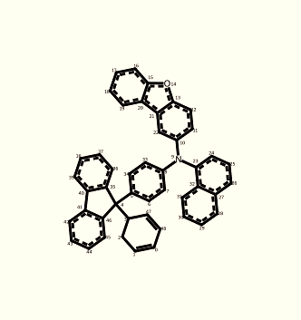 C1=CCC(C2(c3ccc(N(c4ccc5oc6ccccc6c5c4)c4cccc5ccccc45)cc3)c3ccccc3-c3ccccc32)C=C1